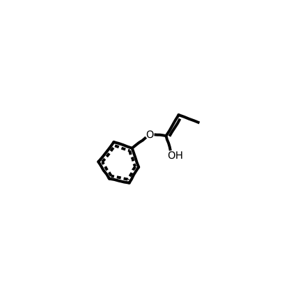 C/C=C(\O)Oc1ccccc1